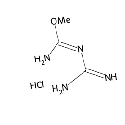 COC(N)=NC(=N)N.Cl